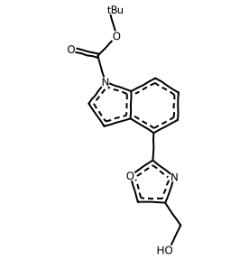 CC(C)(C)OC(=O)n1ccc2c(-c3nc(CO)co3)cccc21